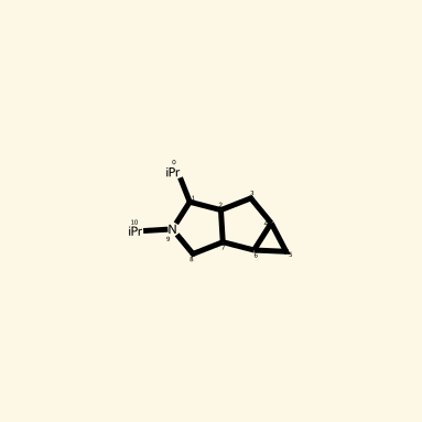 CC(C)C1C2CC3CC3C2CN1C(C)C